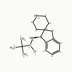 CC(C)(C)[S+]([O-])N[C@@H]1c2ncccc2CC12CCNCC2